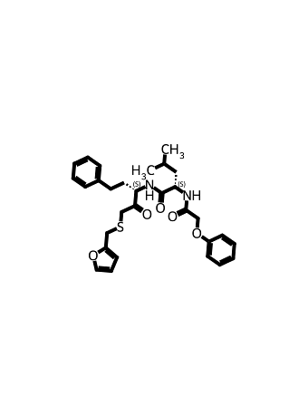 CC(C)C[C@H](NC(=O)COc1ccccc1)C(=O)N[C@@H](CCc1ccccc1)C(=O)CSCc1ccco1